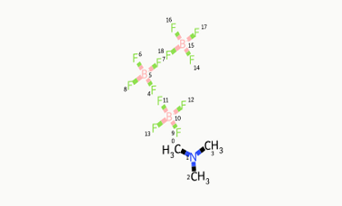 CN(C)C.F[B-](F)(F)F.F[B-](F)(F)F.F[B-](F)(F)F